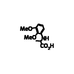 COc1cccc(NC(C)C(=O)O)c1OC